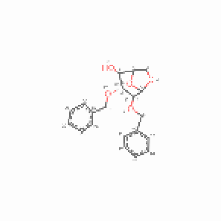 OC1C2COC(O2)[C@@H](OCc2ccccc2)[C@@H]1OCc1ccccc1